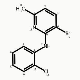 Cc1ccc(Br)c(Nc2ccccc2Cl)n1